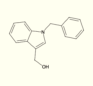 OCc1cn(Cc2ccccc2)c2ccccc12